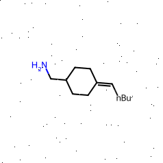 CCCCC=C1CCC(CN)CC1